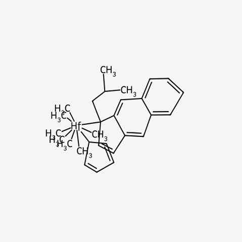 CC(C)C[C]1([Hf]([CH3])([CH3])([CH3])([CH3])([CH3])([CH3])([CH3])[CH]2C=CC=C2)C=Cc2cc3ccccc3cc21